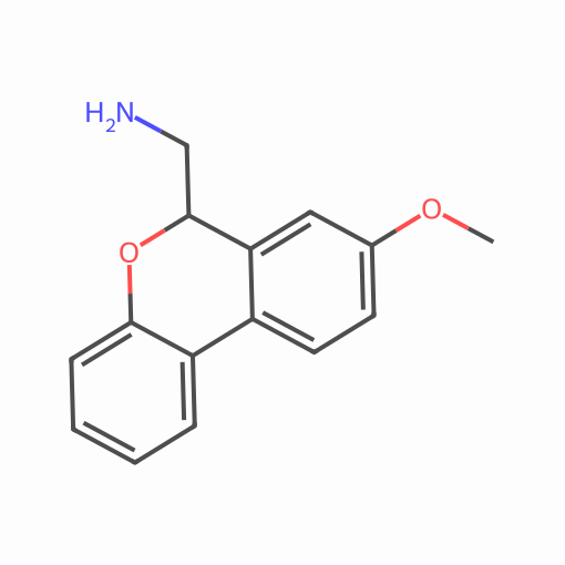 COc1ccc2c(c1)C(CN)Oc1ccccc1-2